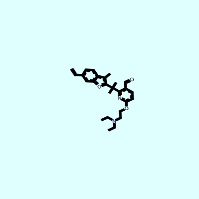 C=Cc1ccc2c(C)c(C(C)(C)c3nc(OCCN(CC)CC)ccc3C=O)oc2c1